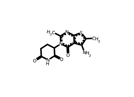 Cc1sc2nc(C)n(C3CCC(=O)NC3=O)c(=O)c2c1N